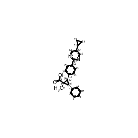 C[C@@]1(C(=O)O)[C@@H](c2ccccc2)[C@@H]1c1ccc(-c2ncc(C3CC3)cn2)cc1